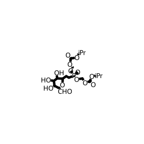 CC(C)OC(=O)OCOP(=O)(CCC1OC(C=O)C(O)C(O)C1O)OCOC(=O)OC(C)C